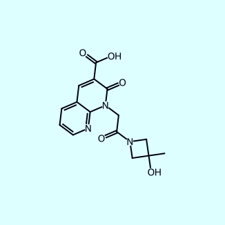 CC1(O)CN(C(=O)Cn2c(=O)c(C(=O)O)cc3cccnc32)C1